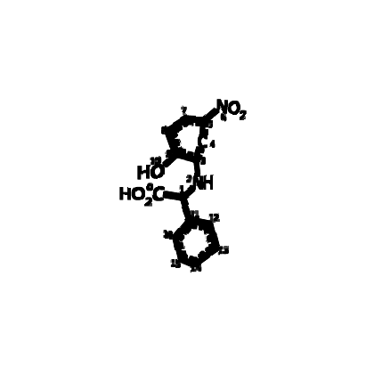 O=C(O)C(Nc1cc([N+](=O)[O-])ccc1O)c1ccccc1